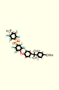 COc1ccc(C(C)(C)c2ccc(Oc3c(F)c(F)c(S(=O)(=O)c4c(F)c(F)c(C)c(F)c4F)c(F)c3F)cc2)cc1